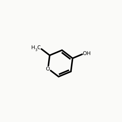 CC1C=C(O)C=CO1